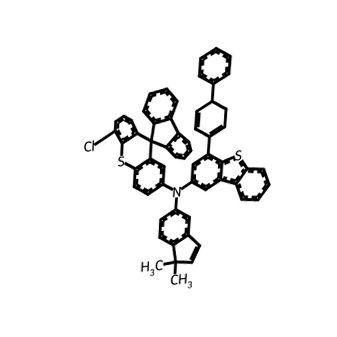 CC1(C)C=Cc2cc(N(c3ccc4c(c3)C3(c5ccccc5-c5ccccc53)c3cccc(Cl)c3S4)c3cc(C4=CCC(c5ccccc5)C=C4)c4sc5ccccc5c4c3)ccc21